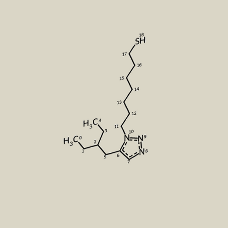 CCC(CC)Cc1cnnn1CCCCCCCS